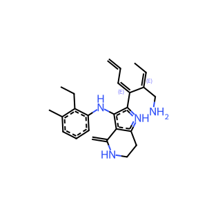 C=C/C=C(\C(=C/C)CN)c1[nH]c2c(c1Nc1cccc(C)c1CC)C(=C)NCC2